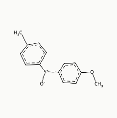 COc1ccc([S+]([O-])c2ccc(C)cc2)cc1